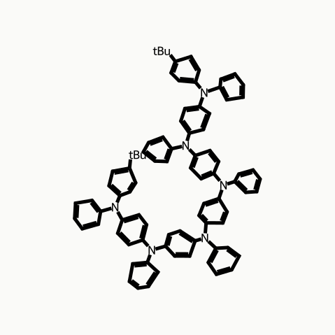 CC(C)(C)c1ccc(N(c2ccccc2)c2ccc(N(c3ccccc3)c3ccc(N(c4ccccc4)c4ccc(N(c5ccccc5)c5ccc(N(c6ccccc6)c6ccc(N(c7ccccc7)c7ccc(C(C)(C)C)cc7)cc6)cc5)cc4)cc3)cc2)cc1